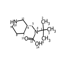 CC(C)(C)N(C[C@@H]1CCCNC1)C(=O)O